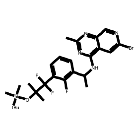 Cc1nc(NC(C)c2cccc(C(F)(F)C(C)(C)O[Si](C)(C)C(C)(C)C)c2F)c2cc(Br)ncc2n1